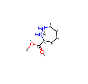 COC(=O)C1CCCCNN1